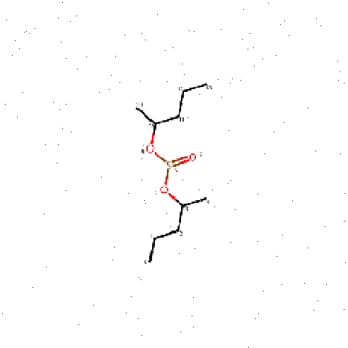 CCCC(C)OS(=O)OC(C)CCC